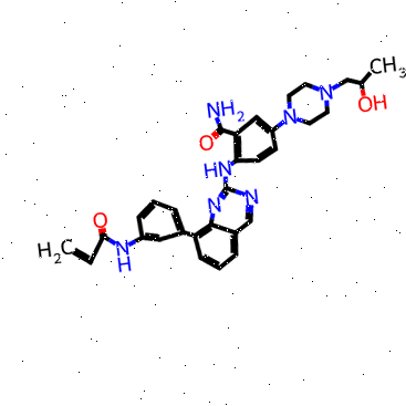 C=CC(=O)Nc1cccc(-c2cccc3cnc(Nc4ccc(N5CCN(CC(C)O)CC5)cc4C(N)=O)nc23)c1